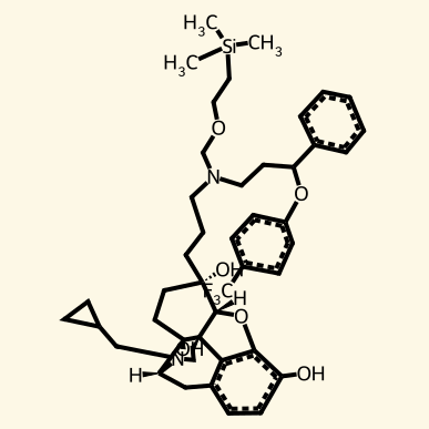 C[Si](C)(C)CCOCN(CCC[C@]1(O)CC[C@@]2(O)[C@H]3Cc4ccc(O)c5c4[C@@]2(CCN3CC2CC2)[C@H]1O5)CCC(Oc1ccc(C(F)(F)F)cc1)c1ccccc1